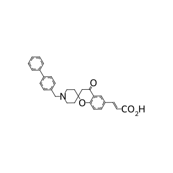 O=C(O)C=Cc1ccc2c(c1)C(=O)CC1(CCN(Cc3ccc(-c4ccccc4)cc3)CC1)O2